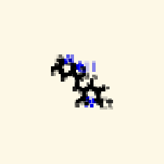 CCc1nc(C)c(Cc2c[nH]c3ncc(C)cc23)c(C)c1C